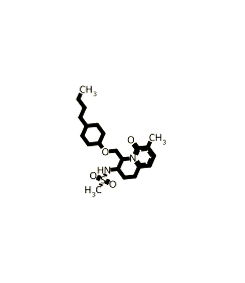 CCCCC1CCC(OCC2C(NS(C)(=O)=O)CCc3ccc(C)c(=O)n32)CC1